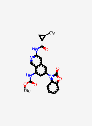 CC(C)(C)OC(=O)Nc1cc(-n2c(=O)oc3ccccc32)cc2cc(NC(=O)[C@@H]3C[C@H]3C#N)ncc12